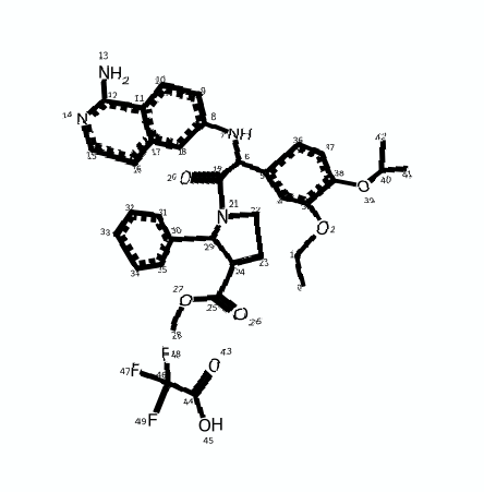 CCOc1cc(C(Nc2ccc3c(N)nccc3c2)C(=O)N2CCC(C(=O)OC)C2c2ccccc2)ccc1OC(C)C.O=C(O)C(F)(F)F